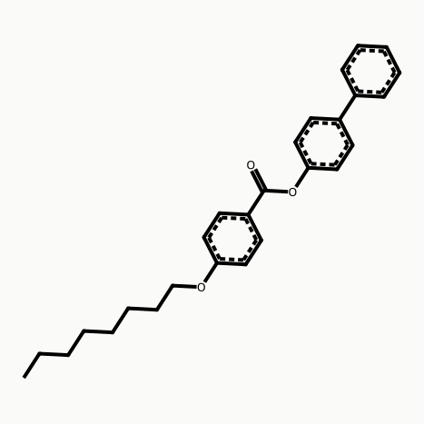 CCCCCCCCOc1ccc(C(=O)Oc2ccc(-c3ccccc3)cc2)cc1